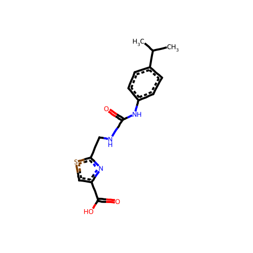 CC(C)c1ccc(NC(=O)NCc2nc(C(=O)O)cs2)cc1